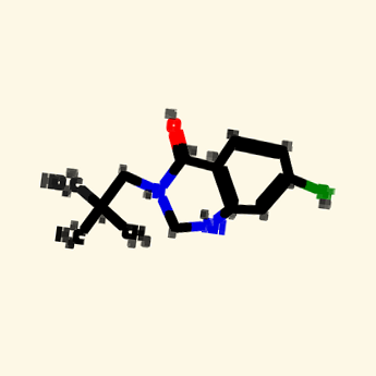 CC(C)(CN1CNc2cc(Br)ccc2C1=O)C(=O)O